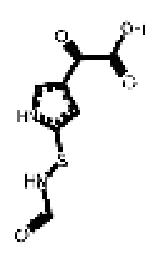 O=CNSc1cc(C(=O)C(=O)O)c[nH]1